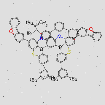 C=C(C(CN1c2cc3c(cc2B2c4ccc(-c5cc(C(C)(C)C)cc(C(C)(C)C)c5)cc4Sc4cc(-c5ccc6oc7ccccc7c6c5)cc1c42)B1c2ccc(-c4cc(C(C)(C)C)cc(C(C)(C)C)c4)cc2Sc2cc(-c4ccc5oc6ccccc6c5c4)cc(c21)N3c1c(-c2ccccc2)cccc1-c1ccccc1)C(C)C)C(C)(C)C